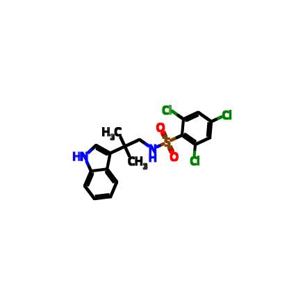 CC(C)(CNS(=O)(=O)c1c(Cl)cc(Cl)cc1Cl)c1c[nH]c2ccccc12